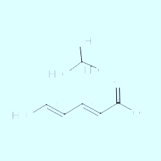 C/C=C/C=C/C(=O)O.CC(C)O